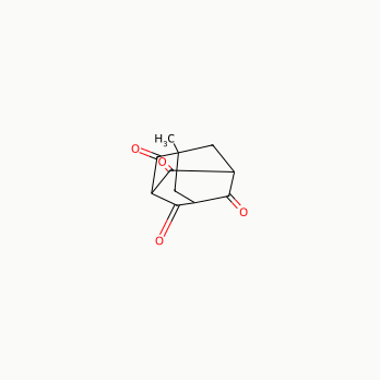 CC12CC3C(=O)C(C1)C(=O)C(C3=O)C2=O